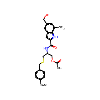 COc1ccc(CSCC(COC(=O)C(C)(C)C)NC(=O)c2cc3cc(CO)cc([N+](=O)[O-])c3[nH]2)cc1